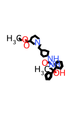 CCOC(=O)C1CCCN(CCC2CCC(NC(=O)N[C@H](C)C(O)(c3ccccc3)c3ccccc3)CC2)C1